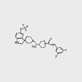 O=C(/C=C/c1cc(F)cc(F)c1)N1CCC(C(O)CN2CCC3(CC2)CNc2ccc(OC(F)(F)F)cc23)CC1